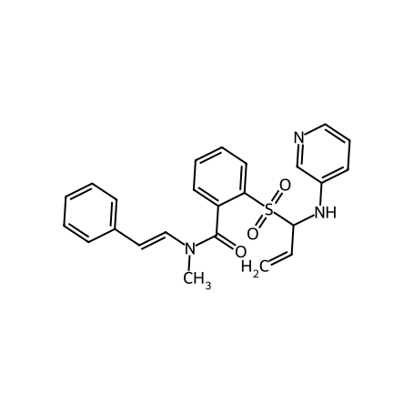 C=CC(Nc1cccnc1)S(=O)(=O)c1ccccc1C(=O)N(C)C=Cc1ccccc1